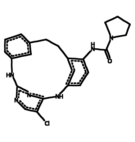 O=C(Nc1ccc2cc1CCc1cccc(c1)Nc1ncc(Cl)c(n1)N2)N1CCCC1